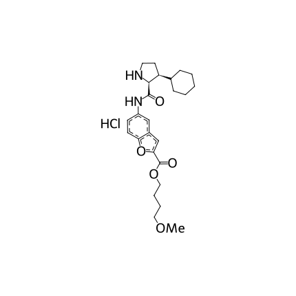 COCCCCOC(=O)c1cc2cc(NC(=O)[C@H]3NCC[C@H]3C3CCCCC3)ccc2o1.Cl